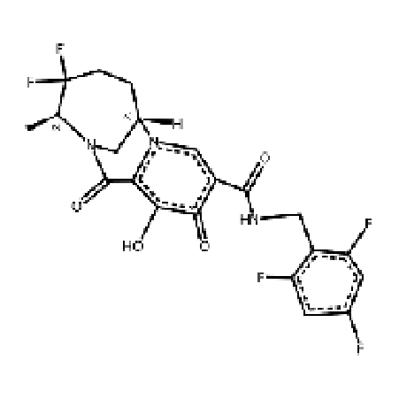 C[C@@H]1N2C[C@H](CCC1(F)F)n1cc(C(=O)NCc3c(F)cc(F)cc3F)c(=O)c(O)c1C2=O